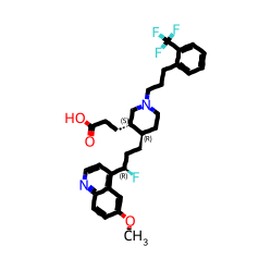 COc1ccc2nccc([C@H](F)CC[C@@H]3CCN(CCCc4ccccc4C(F)(F)F)C[C@H]3CCC(=O)O)c2c1